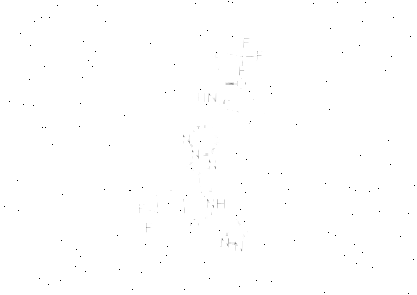 C[C@@H](CC(=O)N[C@@H](c1cnn2cc([C@@H](NC(=O)c3ccnn3C)C3CCC(F)(F)CC3)nc2c1)C1CCC1)C(F)(F)F